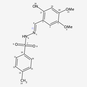 COc1cc(/C=N/NS(=O)(=O)c2ccc(C)cc2)c(N=O)cc1OC